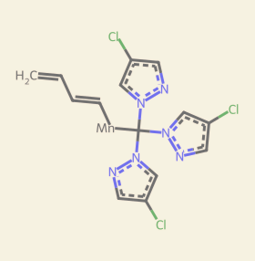 C=CC=[CH][Mn][C](n1cc(Cl)cn1)(n1cc(Cl)cn1)n1cc(Cl)cn1